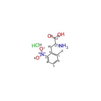 Cc1cccc([N+](=O)[O-])c1CC(N)C(=O)O.Cl